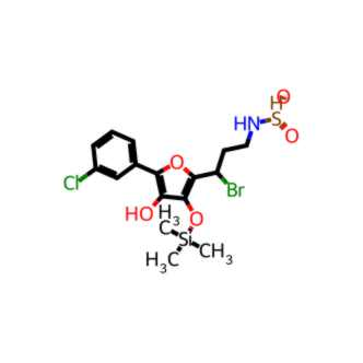 C[Si](C)(C)Oc1c(C(Br)CCN[SH](=O)=O)oc(-c2cccc(Cl)c2)c1O